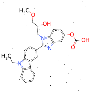 CCn1c2ccccc2c2cc(-c3nc4cc(OC(=O)O)ccc4n3C[C@@H](O)COC)ccc21